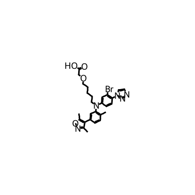 Cc1ccc(-c2c(C)noc2C)cc1N(CCCCCOCC(=O)O)c1ccc(-n2ccnn2)c(Br)c1